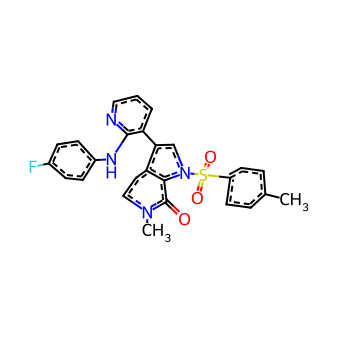 Cc1ccc(S(=O)(=O)n2cc(-c3cccnc3Nc3ccc(F)cc3)c3ccn(C)c(=O)c32)cc1